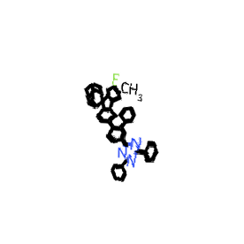 Cc1cc2c(cc1F)C1(c3ccc(-c4ccc(-c5nc(-c6ccccc6)nc(-c6ccccc6)n5)cc4-c4ccccc4)cc3-2)C2CC3CC(C2)CC1C3